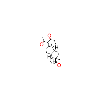 CC(=O)C1=C2CC[C@@H]3[C@@H](CC[C@]4(C)C(=O)CC[C@@H]34)[C@@]2(C)CCC1=O